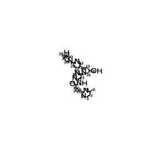 Cc1ccnc([C@H]2C[C@@H]2C(=O)Nc2cc(N3CC(O)C[C@H]3c3ccc(N4CC5C[C@@H]5C4)nc3)ncn2)n1